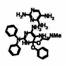 CNCCOC1(Oc2ccccc2)NC(N(c2ccccc2)c2ccccc2)=NC(N)=C1N.Nc1ncc(N)c(N)n1